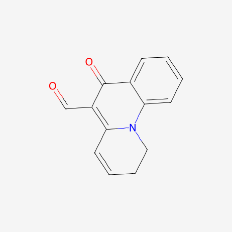 O=Cc1c2n(c3ccccc3c1=O)CCC=C2